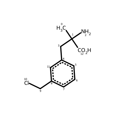 CC(N)(Cc1cccc(CCl)c1)C(=O)O